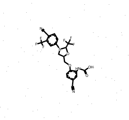 N#Cc1ccc(OCC2CN(c3ccc(C#N)c(C(F)(F)F)c3)C(C(F)(F)F)O2)c(NC(=O)O)c1